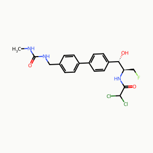 CNC(=O)NCc1ccc(-c2ccc([C@H](O)[C@@H](CF)NC(=O)C(Cl)Cl)cc2)cc1